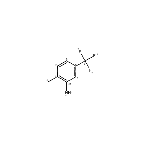 Cc1ccc(C(F)(F)F)cc1[NH]